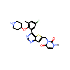 Cc1cc(Cl)cc(-c2ncnc3cc(Cn4c(=O)ccn(C)c4=O)sc23)c1OC1CCNCC1